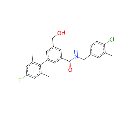 Cc1cc(CNC(=O)c2cc(CO)cc(-c3c(C)cc(F)cc3C)c2)ccc1Cl